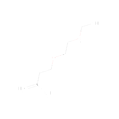 C=C(C)CCOCCOCC